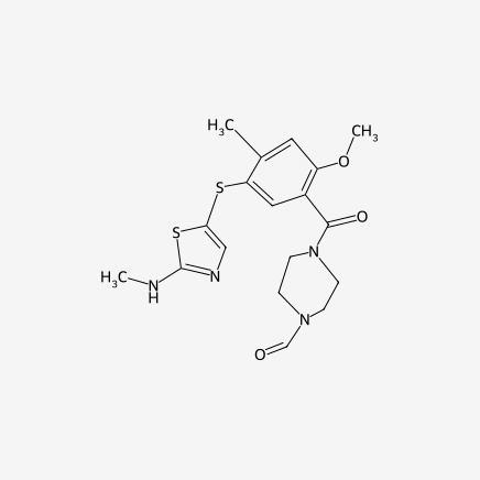 CNc1ncc(Sc2cc(C(=O)N3CCN(C=O)CC3)c(OC)cc2C)s1